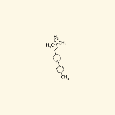 Cc1ccc(N2CCC(CCC(C)(C)C)CC2)cc1